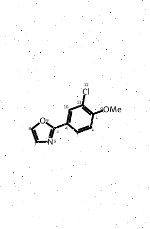 COc1ccc(-c2ncco2)cc1Cl